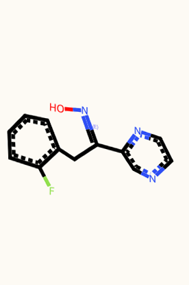 O/N=C(\Cc1ccccc1F)c1cnccn1